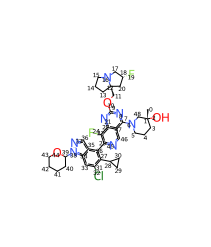 C[C@@]1(O)CCCN(c2nc(OC[C@@]34CCCN3C[C@H](F)C4)nc3c(F)c(-c4c(C5CC5)c(Cl)cc5c4cnn5C4CCCCO4)ncc23)C1